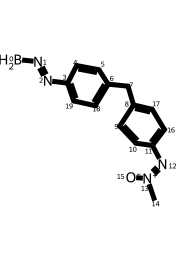 BN=Nc1ccc(Cc2ccc(N=[N+](C)[O-])cc2)cc1